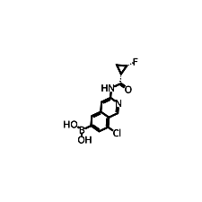 O=C(Nc1cc2cc(B(O)O)cc(Cl)c2cn1)[C@@H]1C[C@@H]1F